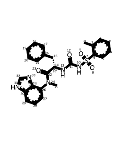 Cc1ccccc1S(=O)(=O)NC(=O)N[C@@H](Cc1ccccc1)C(=O)N(C)c1cccc2[nH]cnc12